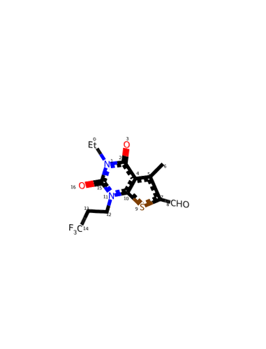 CCn1c(=O)c2c(C)c(C=O)sc2n(CCC(F)(F)F)c1=O